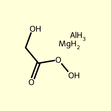 O=C(CO)OO.[AlH3].[MgH2]